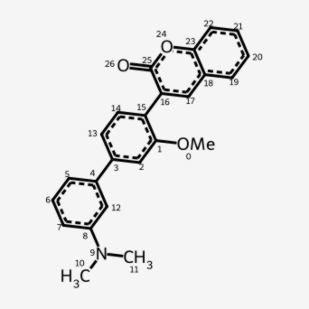 COc1cc(-c2cccc(N(C)C)c2)ccc1-c1cc2ccccc2oc1=O